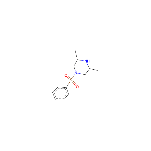 CC1CN(S(=O)(=O)c2ccccc2)CC(C)N1